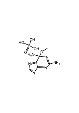 COC1(N)N=C(N)N=C2N=CN=C21.O=P(O)(O)O